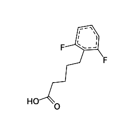 O=C(O)CCCCc1c(F)cccc1F